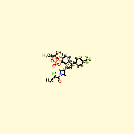 C=C(F)C(=O)N1CC(n2nc(-c3ccc(C(F)(F)F)cc3)c3nccc(OP(=O)(OCC)OCC)c32)C1